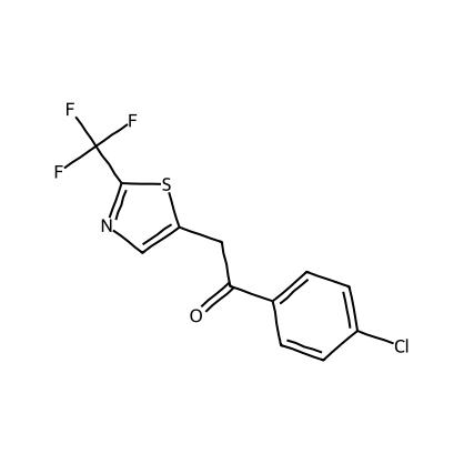 O=C(Cc1cnc(C(F)(F)F)s1)c1ccc(Cl)cc1